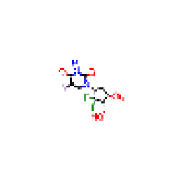 O=c1[nH]c(=O)n([C@@H]2C[C@@H](O)[C@H](CO)C2(F)F)cc1I